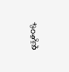 CC(C)(C)OC(=O)N1CCC(n2cc(C(=O)NCc3ncccc3F)cn2)CC1